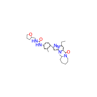 CCc1cc(C(=O)N2CCCCCC2C)nc2cc(-c3ccc(NC(=O)NCC4CCCO4)cc3C)nn12